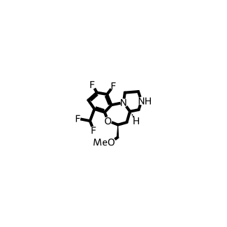 COC[C@@H]1C[C@@H]2CNCCN2c2c(F)c(F)cc(C(F)F)c2O1